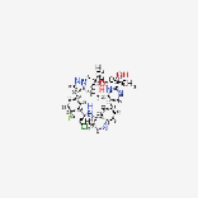 C[C@@H](Nc1c(Cl)cnc2ccc(-c3cnc(C(C)(C)O)nc3)cc12)c1cc(-c2cnn(CC(C)(C)O)c2)ccc1F